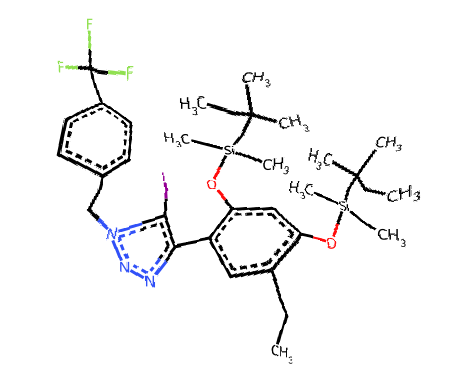 CCc1cc(-c2nnn(Cc3ccc(C(F)(F)F)cc3)c2I)c(O[Si](C)(C)C(C)(C)C)cc1O[Si](C)(C)C(C)(C)C